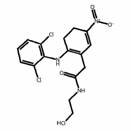 O=C(CC1=C(Nc2c(Cl)cccc2Cl)CCC([N+](=O)[O-])=C1)NCCO